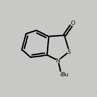 CCC(C)n1sc(=O)c2ccccc21